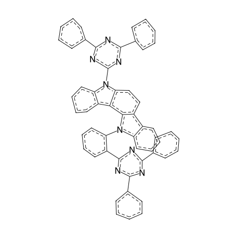 c1ccc(-c2nc(-c3ccccc3)nc(-c3ccccc3-n3c4ccccc4c4ccc5c(c6ccccc6n5-c5nc(-c6ccccc6)nc(-c6ccccc6)n5)c43)n2)cc1